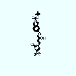 CC(C)(C)OC(=O)N1Cc2ccc(OC[C@H](O)CCn3cc([N+](=O)[O-])nc3Cl)cc2C1